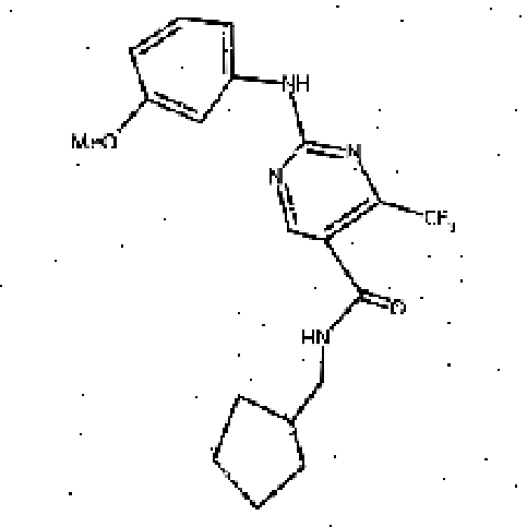 COc1cccc(Nc2ncc(C(=O)NCC3CCCC3)c(C(F)(F)F)n2)c1